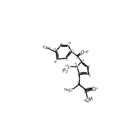 CC(C(=O)O)c1ccc(C(=O)c2ccc(Cl)cc2)n1C